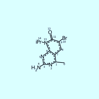 Cc1nc(N)nc2c1cc(Br)c(=O)n2C(C)C